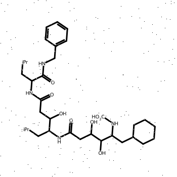 CC(C)CC(NC(=O)CC(O)C(CC(C)C)NC(=O)CC(O)C(O)C(CC1CCCCC1)NC(=O)O)C(=O)NCc1ccccc1